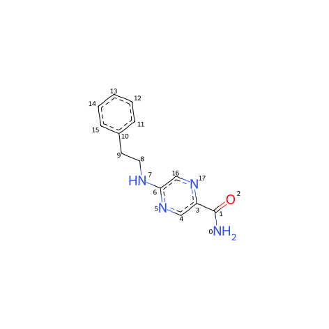 NC(=O)c1cnc(NCCc2ccccc2)cn1